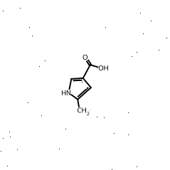 [CH2]c1cc(C(=O)O)c[nH]1